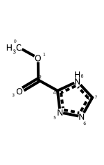 COC(=O)c1nn[c][nH]1